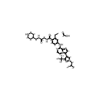 CCc1cc(Nc2nccn3c(-c4cn(CC(F)F)nc4C(F)(F)F)cnc23)ccc1C(=O)NCC(=O)NCC1CCNCC1.O=CO